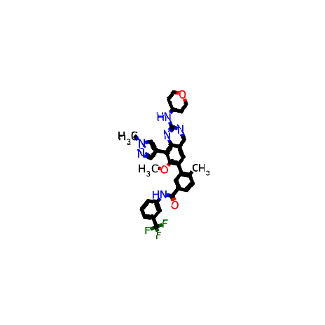 COc1c(-c2cc(C(=O)Nc3cccc(C(F)(F)F)c3)ccc2C)cc2cnc(NC3CCOCC3)nc2c1-c1cnn(C)c1